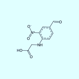 O=Cc1ccc(NCC(=O)O)c([N+](=O)[O-])c1